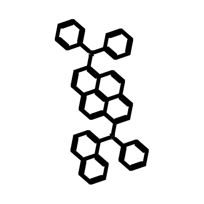 c1ccc(N(c2ccccc2)c2ccc3ccc4c(N(c5ccccc5)c5cccc6ccccc56)ccc5ccc2c3c54)cc1